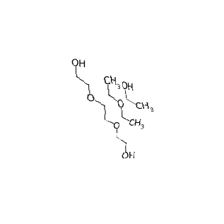 CCO.CCOCC.OCCOCCOCCO